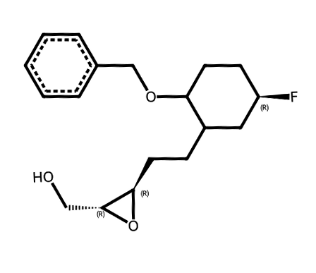 OC[C@H]1O[C@@H]1CCC1C[C@H](F)CCC1OCc1ccccc1